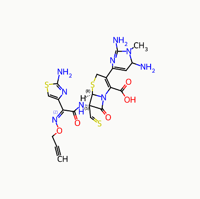 C#CCO/N=C(\C(=O)N[C@@]1(C=S)C(=O)N2C(C(=O)O)=C(C3=CC(N)N(C)C(N)=N3)CS[C@@H]21)c1csc(N)n1